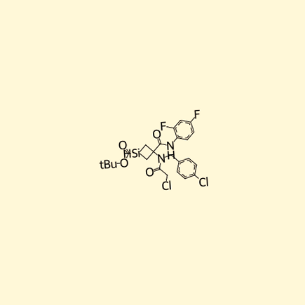 CC(C)(C)OC(=O)[SiH]1CC(C(=O)Nc2ccc(F)cc2F)(N(Cc2ccc(Cl)cc2)C(=O)CCl)C1